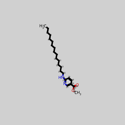 CCCCCCCCCCCCCCCCNc1ccc(C(=O)OC)cn1